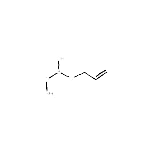 BOB(O)OCC=C